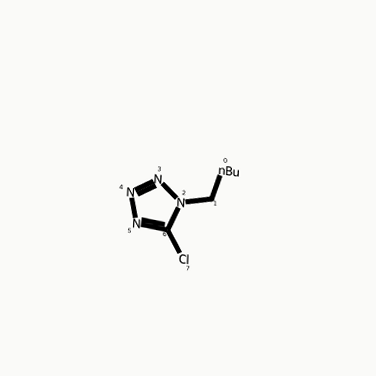 CCCCCn1nnnc1Cl